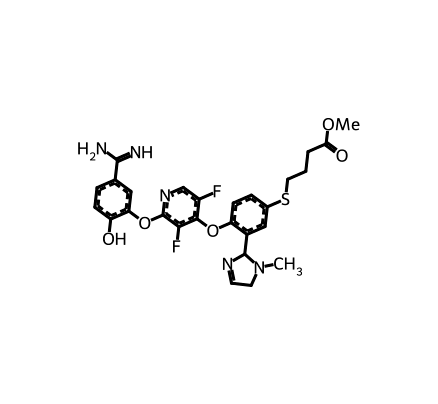 COC(=O)CCCSc1ccc(Oc2c(F)cnc(Oc3cc(C(=N)N)ccc3O)c2F)c(C2N=CCN2C)c1